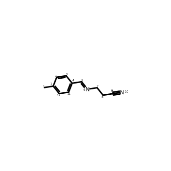 Cc1ccc(C=NCCC#N)cc1